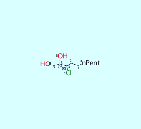 CCCCCCC[C@@H](Cl)[C@@H](O)CO